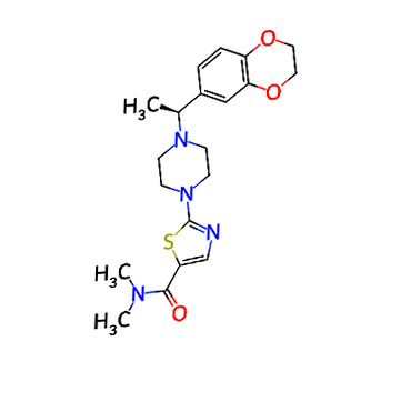 C[C@@H](c1ccc2c(c1)OCCO2)N1CCN(c2ncc(C(=O)N(C)C)s2)CC1